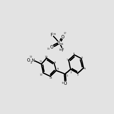 O=C(c1ccccc1)c1ccc([N+](=O)[O-])cc1.O=S(=O)(F)F